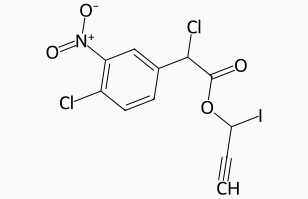 C#CC(I)OC(=O)C(Cl)c1ccc(Cl)c([N+](=O)[O-])c1